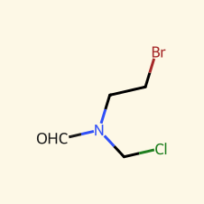 O=CN(CCl)CCBr